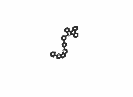 C1=Cc2c(c3ccccc3c3c2nc(-c2cccc(-c4ccc(-c5ccc6ccc7ccc(-c8ccccc8)nc7c6n5)cc4)c2)c2ccccc23)CC1